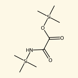 C[Si](C)(C)NC(=O)C(=O)O[Si](C)(C)C